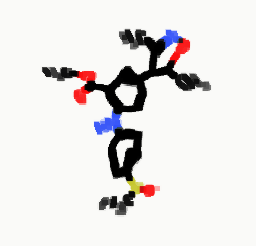 COC(=O)c1cc(-c2c(C)noc2C)ccc1Nc1ccc([S+](C)[O-])cc1